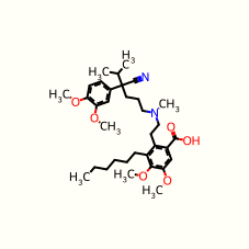 CCCCCCc1c(CCN(C)CCCC(C#N)(c2ccc(OC)c(OC)c2)C(C)C)c(C(=O)O)cc(OC)c1OC